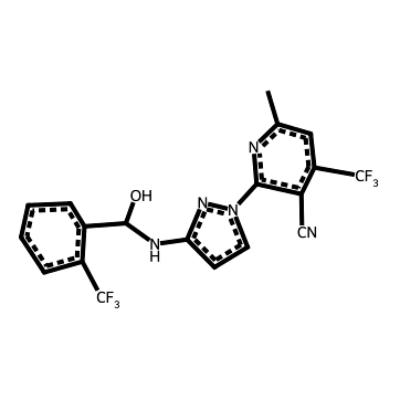 Cc1cc(C(F)(F)F)c(C#N)c(-n2ccc(NC(O)c3ccccc3C(F)(F)F)n2)n1